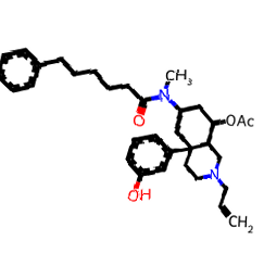 C=CCN1CCC2(c3cccc(O)c3)CC(N(C)C(=O)CCCCCc3ccccc3)CC(OC(C)=O)C2C1